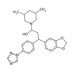 CC1CC(C)CN(C(O)CC(c2ccc(-n3cncn3)cc2)c2ccc3c(c2)OCO3)C1